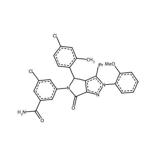 COc1ccccc1-n1nc2c(c1C(C)C)C(c1ccc(Cl)cc1C)N(c1cc(Cl)cc(C(N)=O)c1)C2=O